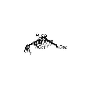 CCCCCCCCCCCCCCCCCCCCOC(=O)C(C)SC(CCCCCCCCC)C(OC(=O)CCCN(CCCN1CCN(C)CC1)CC(O)CCCCCCCC)C(=O)O